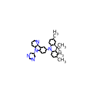 Cc1ccc2c(c1)C(C)(C)c1cc(C)ccc1N2c1ccc2c(c1)c1ncccc1n2-c1cncnc1